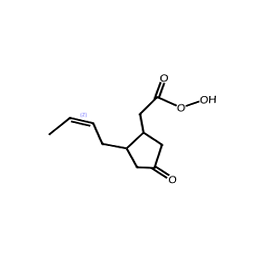 C/C=C\CC1CC(=O)CC1CC(=O)OO